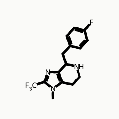 Cn1c(C(F)(F)F)nc2c1CCNC2Cc1ccc(F)cc1